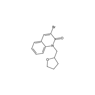 O=c1c(Br)cc2ccccc2n1CC1CCCO1